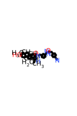 C=C(C)[C@@H]1CCC2(C(=O)NCc3cccc(-c4noc(Cc5ccc(C#N)cc5)n4)c3)CC[C@]3(C)C(CCC4C5(C)CCC(O)C(C)(C)C5CCC43C)C12